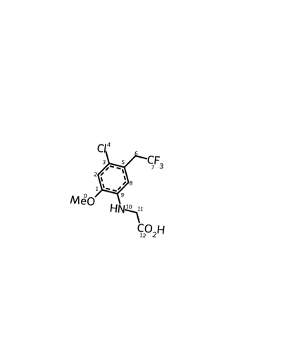 COc1cc(Cl)c(CC(F)(F)F)cc1NCC(=O)O